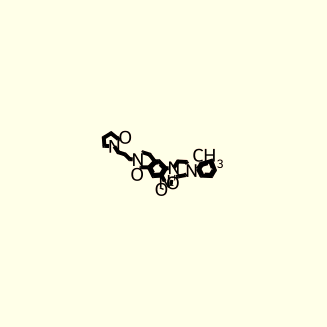 Cc1ccccc1N1CCN(c2cc3c(cc2[N+](=O)[O-])C(=O)N(CCCN2CCCC2=O)CC3)CC1